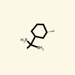 BC(B)(C)C1CCC[C@H](C)C1